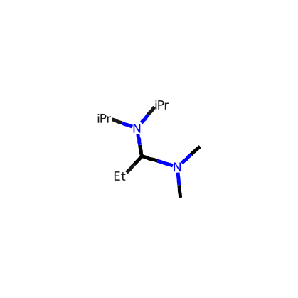 CCC(N(C)C)N(C(C)C)C(C)C